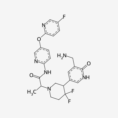 CC(C(=O)Nc1ccc(Oc2ccc(F)cn2)cn1)N1CCC(F)(F)C(c2c[nH]c(=O)c(CN)c2)C1